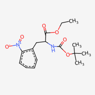 CCOC(=O)C(Cc1ccccc1[N+](=O)[O-])NC(=O)OC(C)(C)C